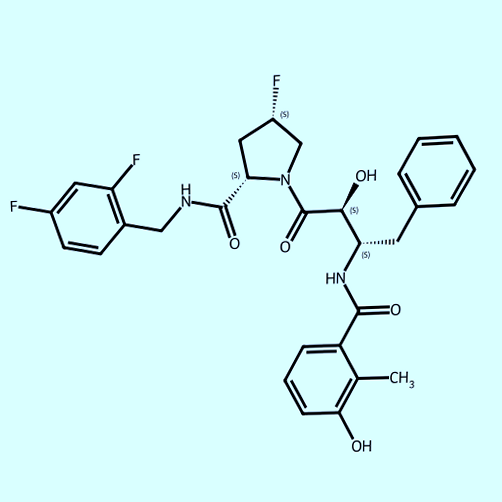 Cc1c(O)cccc1C(=O)N[C@@H](Cc1ccccc1)[C@H](O)C(=O)N1C[C@@H](F)C[C@H]1C(=O)NCc1ccc(F)cc1F